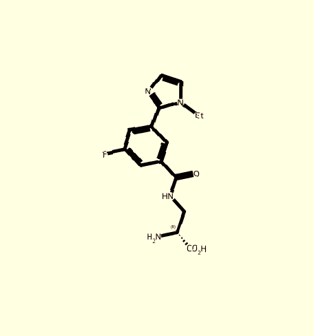 CCn1ccnc1-c1cc(F)cc(C(=O)NC[C@@H](N)C(=O)O)c1